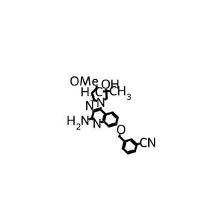 COCCc1nc2c(N)nc3cc(OCc4cccc(C#N)c4)ccc3c2n1CC(C)(C)O